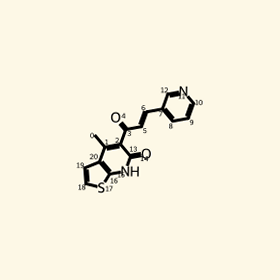 Cc1c(C(=O)C=Cc2cccnc2)c(=O)[nH]c2sccc12